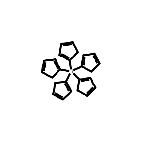 C1=CC[C]([Ti]([C]2=CC=CC2)([C]2=CC=CC2)([C]2=CC=CC2)[C]2=CC=CC2)=C1